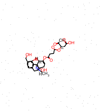 CC(=O)[C@@H](CC(=O)O)OC(=O)CCC(=O)OC1=CC[C@@]2(O)[C@H]3Cc4ccc(CO)c5c4[C@@]2(CCN3C)[C@H]1O5